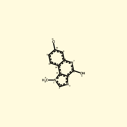 Cn1cnc2c(O)nc3cc(Cl)ccc3c21